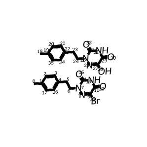 Cc1ccc(CCn2nc(Br)c(=O)[nH]c2=O)cc1.Cc1ccc(CCn2nc(O)c(=O)[nH]c2=O)cc1